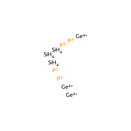 [Ge+4].[Ge+4].[Ge+4].[P-3].[P-3].[P-3].[P-3].[SiH4].[SiH4].[SiH4]